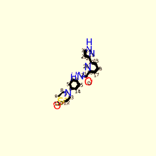 O=C(Nc1ccc(N2CC[S+]([O-])CC2)cc1)c1cccc(-c2cc[nH]n2)n1